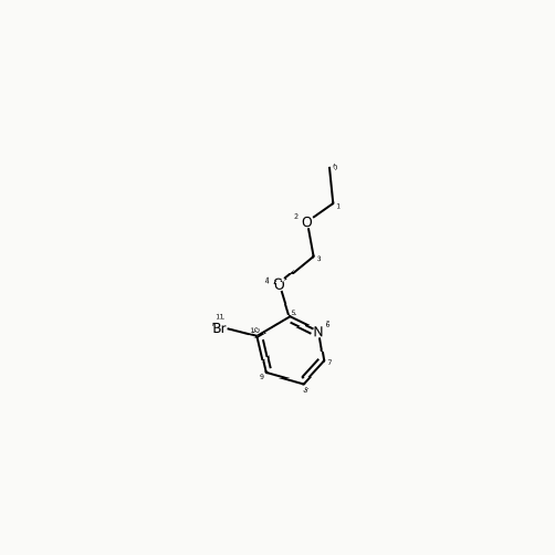 CCOCOc1ncccc1Br